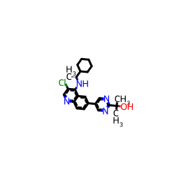 C[C@@H](Nc1c(Cl)cnc2ccc(-c3cnc(C(C)(C)O)nc3)cc12)C1CCCCC1